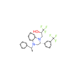 C[C@@H](c1ccccc1)N1C[C@@H](c2cccc(C(F)(F)F)c2)N(C[C@@H](O)C(F)(F)F)c2ccccc21